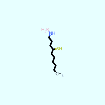 BNCCCC(S)CCCCCC